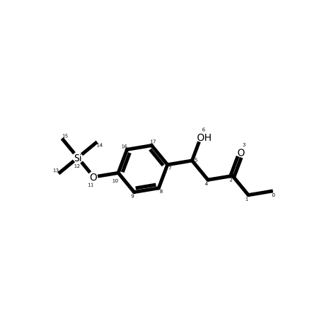 CCC(=O)CC(O)c1ccc(O[Si](C)(C)C)cc1